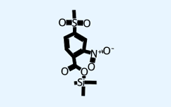 C[Si](C)(C)OC(=O)c1ccc(S(C)(=O)=O)cc1[N+](=O)[O-]